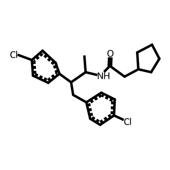 CC(NC(=O)CC1CCCC1)C(Cc1ccc(Cl)cc1)c1ccc(Cl)cc1